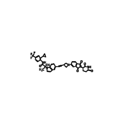 CC(C)(C(=O)Nc1ccc(C(F)(F)F)cc1C1CC1)n1ccc2cc(C#CC3CN(c4ccc5c(c4)C(=O)N(C4CCC(=O)NC4=O)C5=O)C3)ccc21